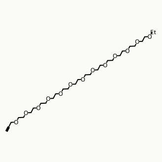 C#CCOCCOCCOCCOCCOCCOCCOCCOCCOCCOCCOCCOCCOCC